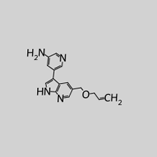 C=CCOCc1cnc2[nH]cc(-c3cncc(N)c3)c2c1